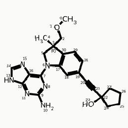 COC[C@@]1(C)CN(c2nc(N)nc3[nH]cnc23)c2cc(C#CC3(O)CCCC3)ccc21